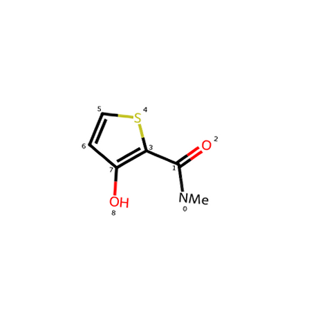 CNC(=O)c1sccc1O